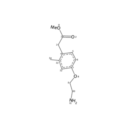 COC(=O)Cc1ccc(OCCN)cc1C